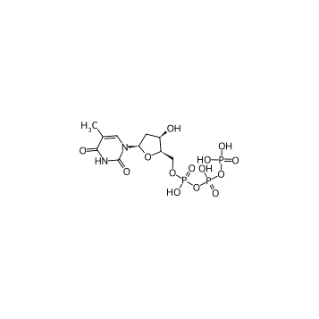 Cc1cn([C@H]2C[C@@H](O)[C@@H](COP(=O)(O)OP(=O)(O)OP(=O)(O)O)O2)c(=O)[nH]c1=O